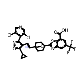 O=C(O)c1cc(C(F)(F)F)cc2nc(C34CCC(/C=C/c5c(-c6c(Cl)cncc6Cl)noc5C5CC5)(CC3)CC4)sc12